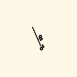 C=C1N(CCCCCC(CCCCCCCCCCCC)N2C(=C)C(C)(C)c3ccccc32)c2ccccc2C1(C)C